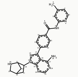 Cc1ccnc(NC(=O)c2ccc(-c3nn(C4CC5CNC4C5)c4ncnc(N)c34)cc2)c1